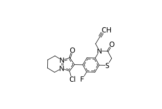 C#CCN1C(=O)CSc2cc(F)c(-c3c(Cl)n4n(c3=O)CCCC4)cc21